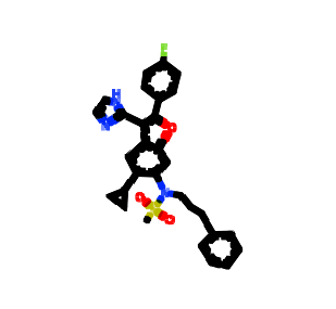 CS(=O)(=O)N(CCCc1ccccc1)c1cc2oc(-c3ccc(F)cc3)c(-c3ncc[nH]3)c2cc1C1CC1